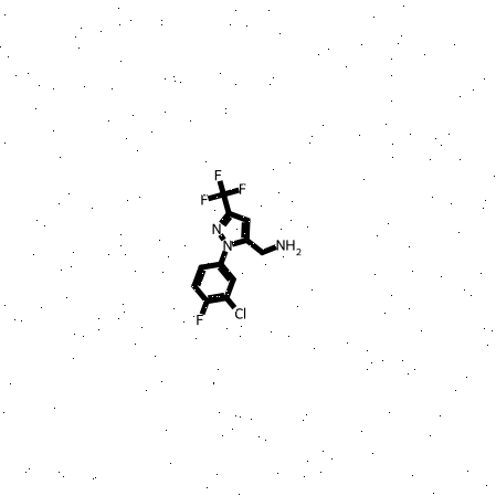 NCc1cc(C(F)(F)F)nn1-c1ccc(F)c(Cl)c1